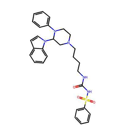 O=C(NCCCCN1CCN(c2ccccc2)C(n2ccc3ccccc32)C1)NS(=O)(=O)c1ccccc1